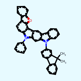 CC1(C)c2ccccc2-c2ccc(-n3c4ccccc4c4cc5c6c7oc8ccccc8c7ccc6n(-c6ccccc6)c5cc43)cc21